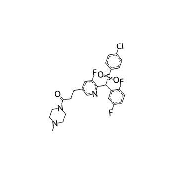 CN1CCN(C(=O)CCc2cnc(C(c3cc(F)ccc3F)S(=O)(=O)c3ccc(Cl)cc3)c(F)c2)CC1